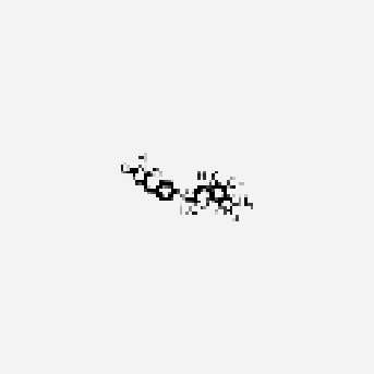 Cc1c(C)c2c(c(C)c1O)C=CC(C)(COc1ccc(CC3SC(=O)NC3=O)cc1)O2